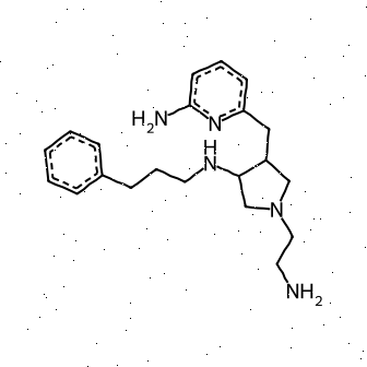 NCCN1CC(Cc2cccc(N)n2)C(NCCCc2ccccc2)C1